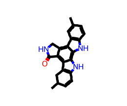 Cc1ccc2[nH]c3c4[nH]c5c(c4c4c(c3c2c1)CNC4=O)CC(C)C=C5